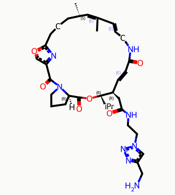 CC1=C\[C@@H](C)CCCc2nc(co2)C(=O)N2CCC[C@@H]2C(=O)O[C@H](C(C)C)[C@H](CC(=O)NCCn2cc(CN)nn2)/C=C/C(=O)NC\C=C\1